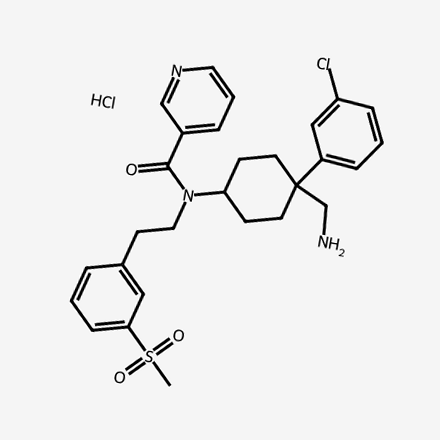 CS(=O)(=O)c1cccc(CCN(C(=O)c2cccnc2)C2CCC(CN)(c3cccc(Cl)c3)CC2)c1.Cl